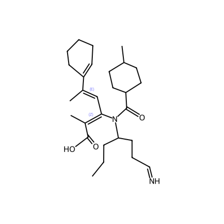 CCCC(CCC=N)N(C(=O)C1CCC(C)CC1)C(/C=C(\C)C1=CCCCC1)=C(/C)C(=O)O